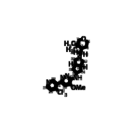 [2H]C([2H])(C1CCOCC1(C)C)N1C[C@H]2CC(Nc3nnc(-c4cnccc4C(F)(F)F)cc3OC)C[C@H]2C1